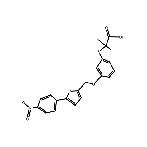 CC(C)(Sc1cccc(OCc2ccc(-c3ccc([N+](=O)[O-])cc3)o2)c1)C(=O)O